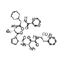 CCCC(NC(=O)[C@@H]1CCCN1C(=O)[C@@H](NC(=O)[C@@H](NC(=O)c1cnccn1)C1CCCCC1)C(C)CC)C(=O)C(=O)N[C@@H](Cc1ccccc1)C(=O)O